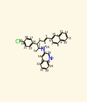 CC(C(C/C=C/c1ccc2ccccc2c1)c1ccc(Cl)cc1)N(C)c1cnc2ccccc2c1